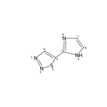 [c]1nnsc1-c1ncc[nH]1